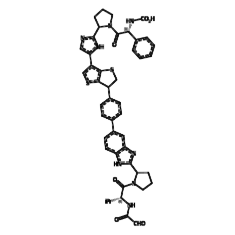 CC(C)[C@@H](NC(=O)C=O)C(=O)N1CCCC1c1nc2cc(-c3ccc(C4CSc5c(-c6cnc(C7CCCN7C(=O)[C@H](NC(=O)O)c7ccccc7)[nH]6)csc54)cc3)ccc2[nH]1